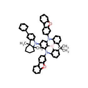 CC12CCCCC1(C)N(c1cc3c4c(c1)N(c1ccc5c(c1)oc1ccccc15)c1cccc5c1B4c1c(cccc1[Si]5(C)C)N3c1ccc3c(c1)oc1ccccc13)c1ccc(-c3ccccc3)cc12